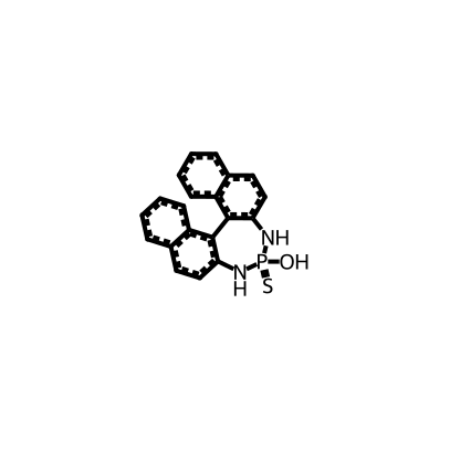 OP1(=S)Nc2ccc3ccccc3c2-c2c(ccc3ccccc23)N1